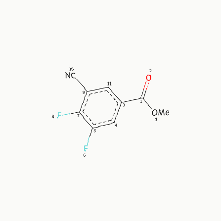 COC(=O)c1cc(F)c(F)c(C#N)c1